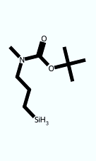 CN(CCC[SiH3])C(=O)OC(C)(C)C